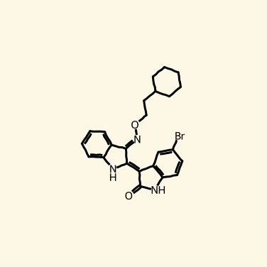 O=C1Nc2ccc(Br)cc2/C1=C1/Nc2ccccc2/C1=N\OCCC1CCCCC1